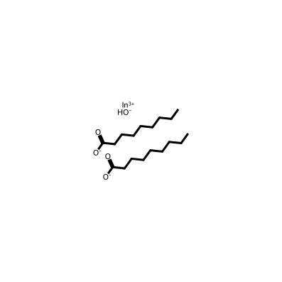 CCCCCCCCC(=O)[O-].CCCCCCCCC(=O)[O-].[In+3].[OH-]